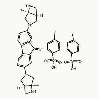 Cc1ccc(S(=O)(=O)O)cc1.Cc1ccc(S(=O)(=O)O)cc1.O=C1c2cc(N3C[C@@H]4CN[C@@H]4C3)ccc2-c2ccc(N3C[C@@H]4CN[C@@H]4C3)cc21